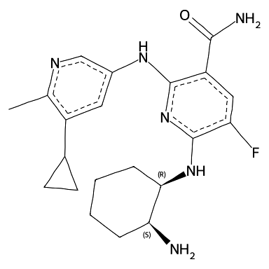 Cc1ncc(Nc2nc(N[C@@H]3CCCC[C@@H]3N)c(F)cc2C(N)=O)cc1C1CC1